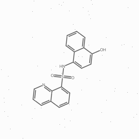 O=S(=O)(Nc1ccc(O)c2ccccc12)c1cccc2cccnc12